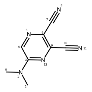 CN(C)c1cnc(C#N)c(C#N)n1